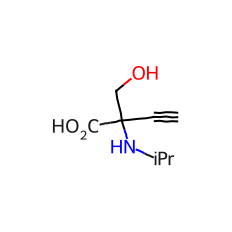 C#CC(CO)(NC(C)C)C(=O)O